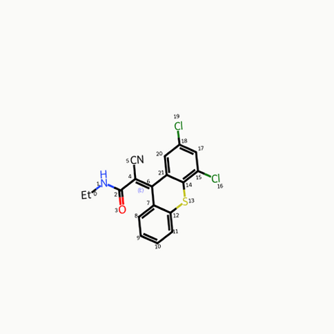 [CH2]CNC(=O)/C(C#N)=C1\c2ccccc2Sc2c(Cl)cc(Cl)cc21